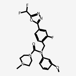 COc1cccc(N(Cc2ccc(-c3nnc(C(F)F)o3)cc2F)C(=O)N2CCN(C)CC2)c1